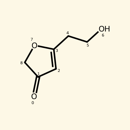 O=C1C=C(CCO)OC1